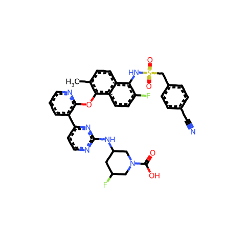 Cc1ccc2c(NS(=O)(=O)Cc3ccc(C#N)cc3)c(F)ccc2c1Oc1ncccc1-c1ccnc(NC2CC(F)CN(C(=O)O)C2)n1